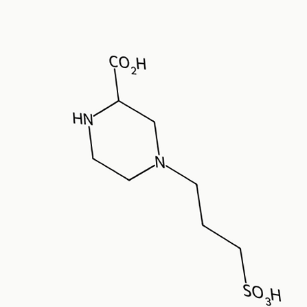 O=C(O)C1CN(CCCS(=O)(=O)O)CCN1